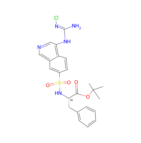 CC(C)(C)OC(=O)[C@H](Cc1ccccc1)NS(=O)(=O)c1ccc2c(NC(N)=NCl)cncc2c1